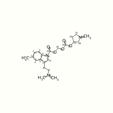 Cc1ccc2c(c1)c(CCN(C)C)cn2C(=O)OCOC(=O)OC1CCN(C)C1